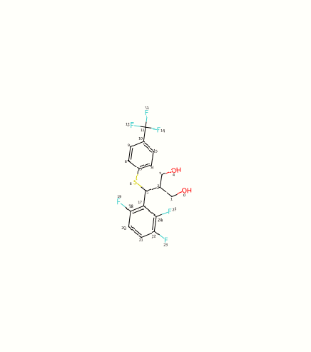 OCC(CO)C(Sc1ccc(C(F)(F)F)cc1)c1c(F)ccc(F)c1F